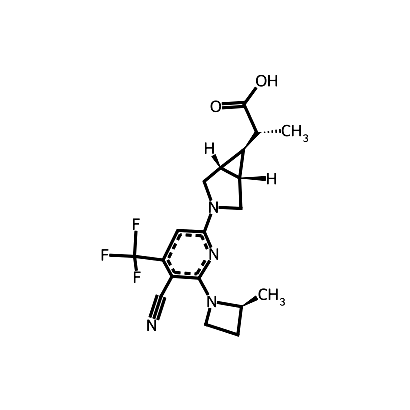 C[C@@H](C(=O)O)[C@H]1[C@@H]2CN(c3cc(C(F)(F)F)c(C#N)c(N4CC[C@@H]4C)n3)C[C@@H]21